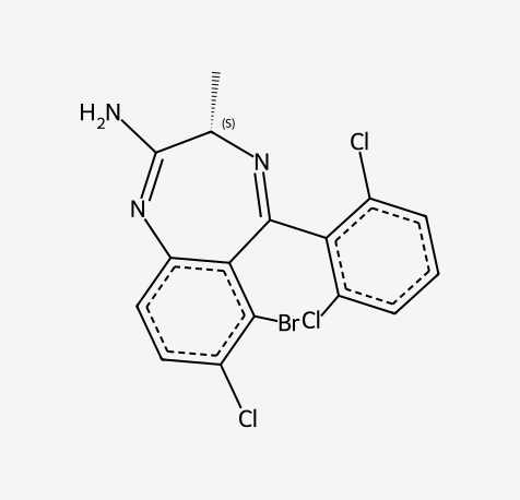 C[C@@H]1N=C(c2c(Cl)cccc2Cl)c2c(ccc(Cl)c2Br)N=C1N